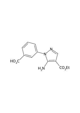 CCOC(=O)c1cnn(-c2cccc(C(=O)O)c2)c1N